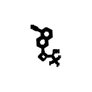 N#Cc1cccc2cc(N3CC[C@H]3[C@H](O)C(F)(F)F)ccc12